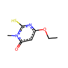 CCOc1cc(=O)n(C)c(S)n1